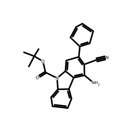 CC(C)(C)OC(=O)n1c2ccccc2c2c(N)c(C#N)c(-c3ccccc3)cc21